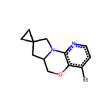 CCc1ccnc2c1OCC1CC3(CC3)CN21